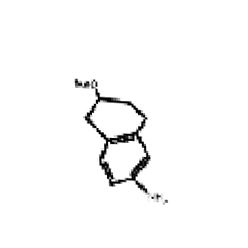 COC1CCc2cc(N)ccc2C1